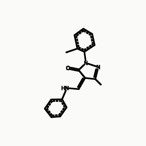 CC1=NN(c2ccccc2C)C(=O)C1=CNc1ccccc1